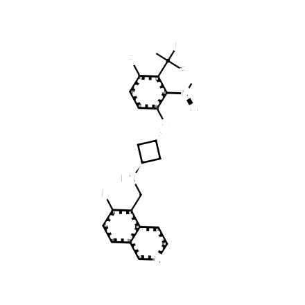 O=[N+]([O-])c1c(O[C@H]2C[C@H](NCc3c(F)ccc4cnccc34)C2)ccc(F)c1C(F)(F)F